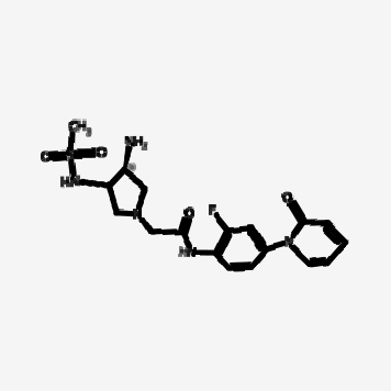 CS(=O)(=O)NC1CN(CC(=O)Nc2ccc(-n3ccccc3=O)cc2F)C[C@@H]1N